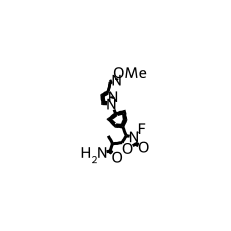 CON=Cc1ccn(-c2ccc(C3C(C(C)C(N)=O)OC(=O)N3F)cc2)n1